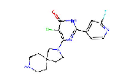 O=c1[nH]c(-c2ccnc(F)c2)nc(N2CCC3(CCNCC3)C2)c1Cl